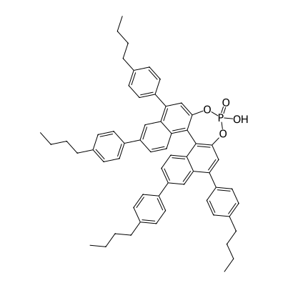 CCCCc1ccc(-c2ccc3c4c(cc(-c5ccc(CCCC)cc5)c3c2)OP(=O)(O)Oc2cc(-c3ccc(CCCC)cc3)c3cc(-c5ccc(CCCC)cc5)ccc3c2-4)cc1